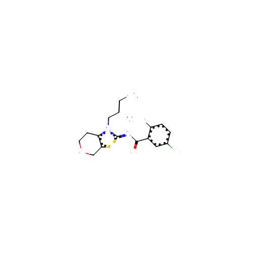 COc1ccc(Cl)cc1C(=O)N=c1sc2c(n1CCCC#N)CCOC2